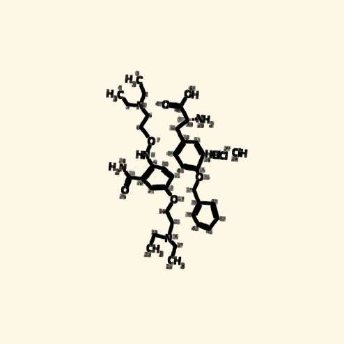 CCN(CC)CCONc1ccc(OCCN(CC)CC)cc1C(N)=O.Cl.Cl.Cl.N[C@H](Cc1ccc(OCc2ccccc2)cc1)C(=O)O